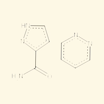 NC(=O)c1cc[nH]n1.c1ccnnc1